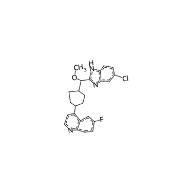 COC(c1nc2cc(Cl)ccc2[nH]1)C1CCC(c2ccnc3ccc(F)cc23)CC1